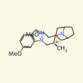 COCCC1CC2CCC(C1)N2C[C@@H](C)Cn1ncc2ccc(OC)cc21